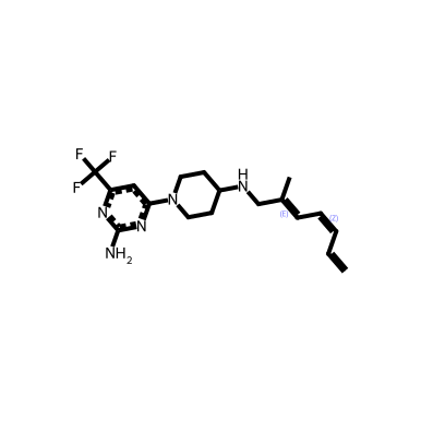 C=C/C=C\C=C(/C)CNC1CCN(c2cc(C(F)(F)F)nc(N)n2)CC1